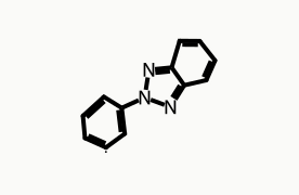 [c]1cccc(-n2nc3ccccc3n2)c1